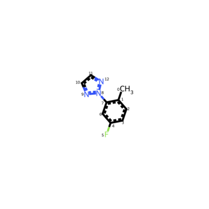 Cc1ccc(F)cc1-n1nccn1